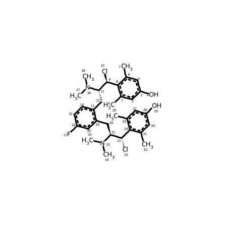 Cc1cc(O)cc(C)c1[C@H](Cl)[C@H](Cc1ccc(F)cc1C[C@@H]([C@@H](Cl)c1c(C)cc(O)cc1C)N(C)C)N(C)C